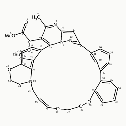 COC(=O)[C@@H](OC(C)(C)C)c1c(C)nc2cc3nn2c1-c1ccc2c(c1Cl)N(CC=CCCCOc1ccccc1-c1cccc-3c1)CCO2